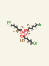 O=C(OP(OC(=O)C(S)CCCCBr)OC(=O)C(S)CCCCBr)C(S)CCCCBr